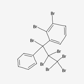 Brc1cccc(C(Br)(c2ccccc2)C(Br)(Br)C(Br)(Br)Br)c1Br